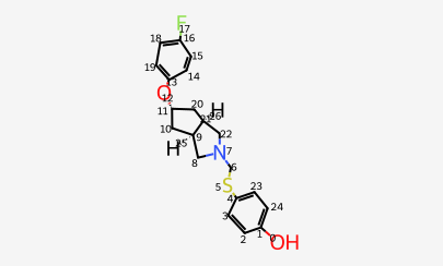 Oc1ccc(SCN2C[C@H]3C[C@H](Oc4ccc(F)cc4)C[C@H]3C2)cc1